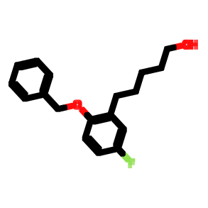 OCCCCCc1cc(F)ccc1OCc1ccccc1